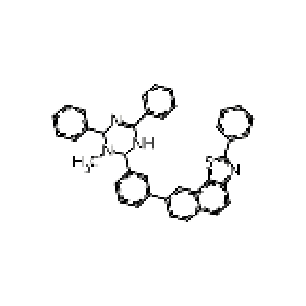 CN1C(c2ccccc2)N=C(c2ccccc2)NC1c1cccc(-c2ccc3ccc4nc(-c5ccccc5)sc4c3c2)c1